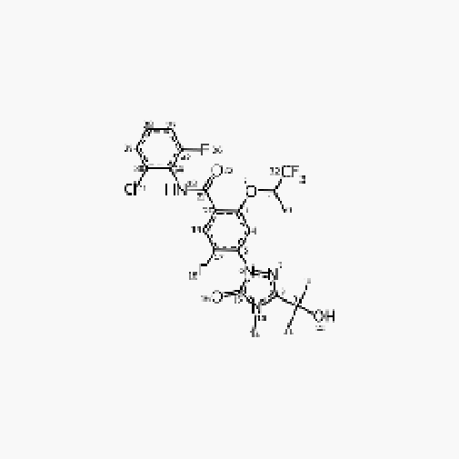 CC(Oc1cc(-n2nc(C(C)(C)O)n(C)c2=O)c(F)cc1C(=O)Nc1c(F)cccc1Cl)C(F)(F)F